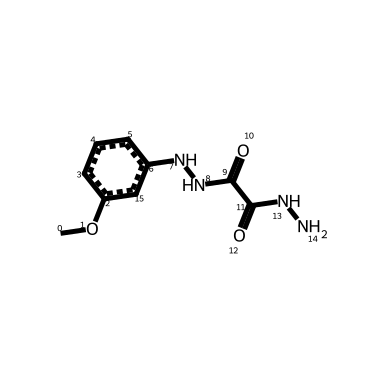 COc1cccc(NNC(=O)C(=O)NN)c1